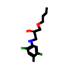 CCCCOC[C@H](O)CNc1cc(F)c(C)cc1Br